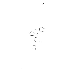 CCOC(=O)c1cc(C(=O)C=C(O)c2nn[nH]n2)n(S(=O)(=O)c2ccc(F)cc2)c1